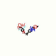 CCOc1cnc(N2CCC([C@H]3C[C@H]3CCOc3cc(F)c(CC(=O)O)c(F)c3)CC2)nc1